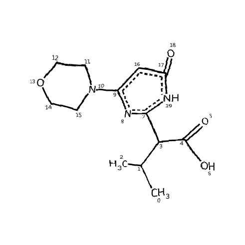 CC(C)C(C(=O)O)c1nc(N2CCOCC2)cc(=O)[nH]1